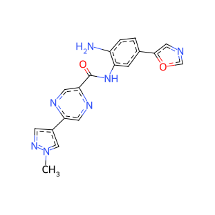 Cn1cc(-c2cnc(C(=O)Nc3cc(-c4cnco4)ccc3N)cn2)cn1